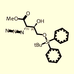 COC(=O)[C@@H](N=[N+]=[N-])[C@@H](O)CO[Si](c1ccccc1)(c1ccccc1)C(C)(C)C